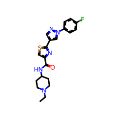 CCN1CCC(NC(=O)c2csc(-c3cnn(-c4ccc(F)cc4)c3)n2)CC1